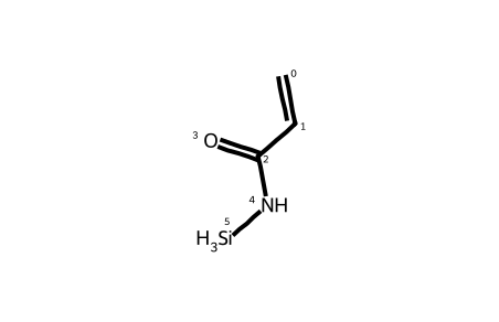 C=CC(=O)N[SiH3]